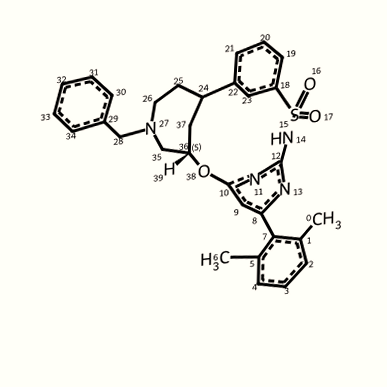 Cc1cccc(C)c1-c1cc2nc(n1)NS(=O)(=O)c1cccc(c1)C1CCN(Cc3ccccc3)C[C@H](C1)O2